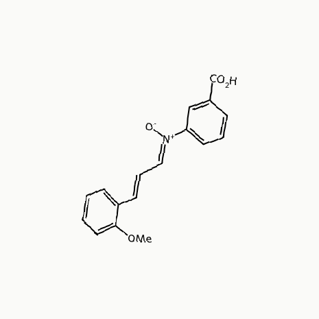 COc1ccccc1C=CC=[N+]([O-])c1cccc(C(=O)O)c1